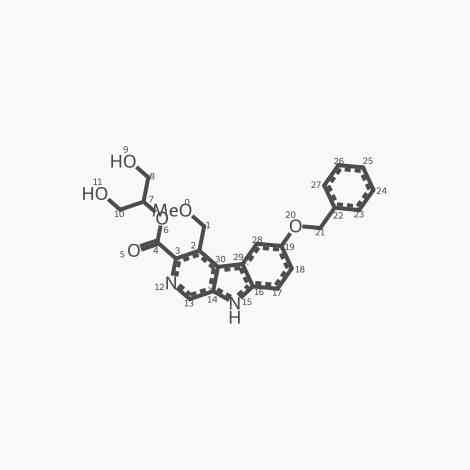 COCc1c(C(=O)OC(CO)CO)ncc2[nH]c3ccc(OCc4ccccc4)cc3c12